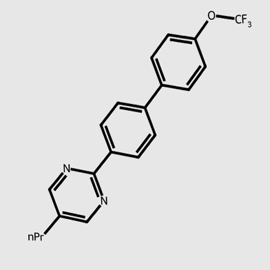 CCCc1cnc(-c2ccc(-c3ccc(OC(F)(F)F)cc3)cc2)nc1